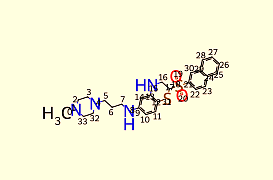 CN1CCN(CCCNc2ccc3c(c2)NCC(S(=O)(=O)c2ccc4ccccc4c2)S3)CC1